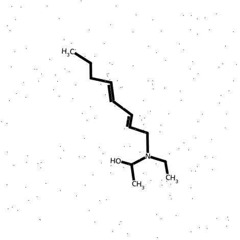 CCCC=CC=CCN(CC)C(C)O